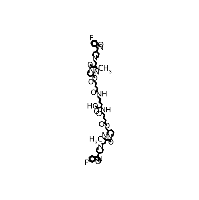 Cc1nc2n(c(=O)c1CCN1CCC(c3noc4cc(F)ccc34)CC1)CCCC2COC(=O)CCCC(=O)NC(CCCCNC(=O)CCCC(=O)OC1CCCn2c1nc(C)c(CCN1CCC(c3noc4cc(F)ccc34)CC1)c2=O)C(=O)O